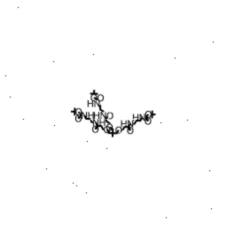 CC(COCCC(=O)NCCCNC(=O)OC(C)(C)C)(COCCC(=O)NCCCNC(=O)OC(C)(C)C)COCCC(=O)NCCCNC(=O)OC(C)(C)C